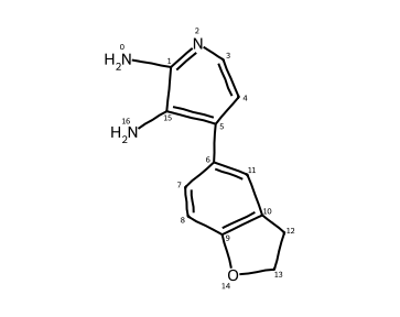 Nc1nccc(-c2ccc3c(c2)CCO3)c1N